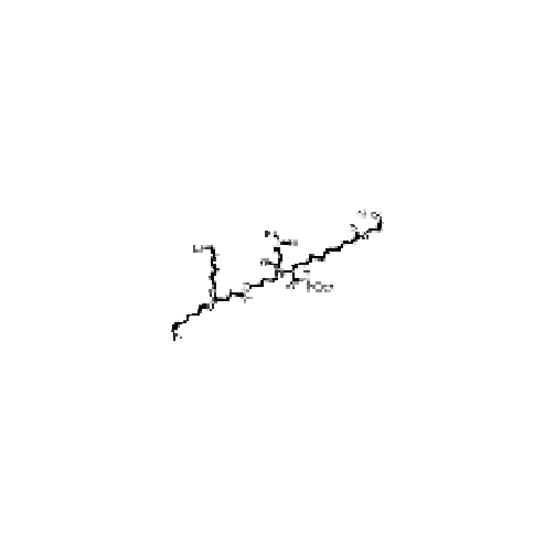 CC/C=C\CCCCOC(CCC(=O)OCCCN(C(=O)CCN(CC)CC)C(CCCCCCCCC(=O)OC/C=C\CCCCCC)C(=O)NCCCCCCCC)OCCCC/C=C\CC